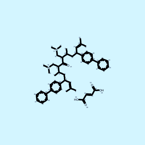 CC(C)=CC(CC(C)C(CN(C)C)C(=O)C(CN(C)C)C(C)CC(C=C(C)C)c1ccc(-c2ccccc2)cc1)c1ccc(-c2ccccc2)cc1.O=C(O)/C=C/C(=O)O